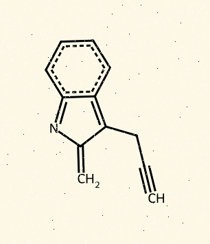 C#CCC1=c2ccccc2=NC1=C